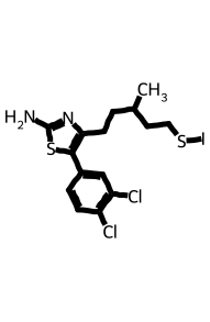 CC(CCSI)CCc1nc(N)sc1-c1ccc(Cl)c(Cl)c1